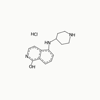 Cl.Oc1nccc2c(NC3CCNCC3)cccc12